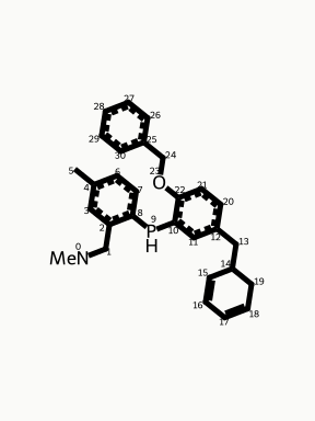 CNCc1cc(C)ccc1Pc1cc(CC2C=CC=CC2)ccc1OCc1ccccc1